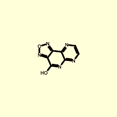 Oc1nc2nccnc2c2nonc12